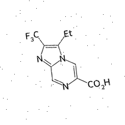 CCc1c(C(F)(F)F)nc2cnc(C(=O)O)cn12